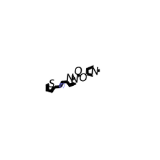 CN1CCC(OC(=O)n2ccc(/C=C/c3cccs3)n2)C1